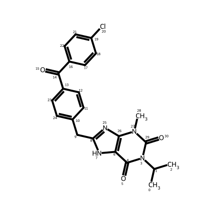 CC(C)n1c(=O)c2[nH]c(Cc3ccc(C(=O)c4ccc(Cl)cc4)cc3)nc2n(C)c1=O